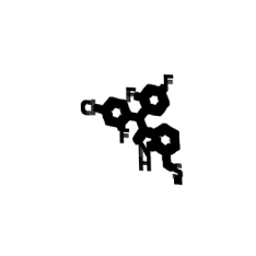 CSCc1cccc2c(C(c3ccc(F)cc3F)c3ccc(Cl)cc3F)c[nH]c12